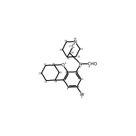 O=CN(c1cc(Br)cc2c1OC1CCCC2C1)C1CN2CCC1CC2